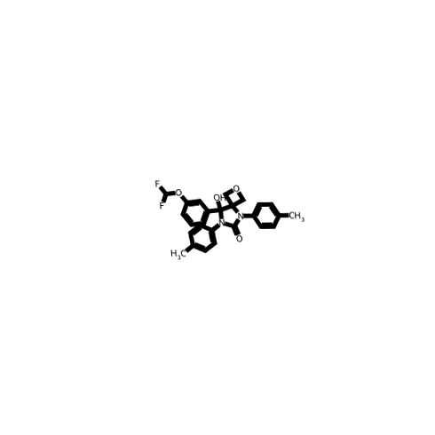 Cc1ccc(N2C(=O)N(c3ccc(C)cc3)C(O)(c3cccc(OC(F)F)c3)C23COC3)cc1